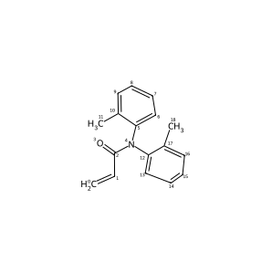 C=CC(=O)N(c1ccccc1C)c1ccccc1C